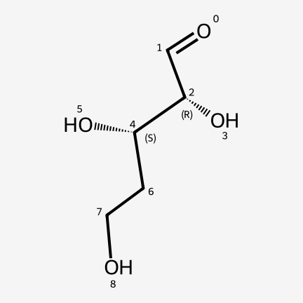 O=C[C@H](O)[C@@H](O)CCO